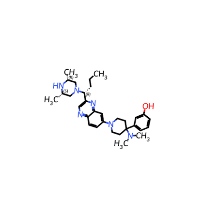 CCC[C@H](c1cnc2ccc(N3CCC(c4cccc(O)c4)(N(C)C)CC3)cc2n1)N1C[C@@H](C)N[C@@H](C)C1